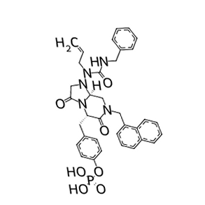 C=CCN(C(=O)NCc1ccccc1)N1CC(=O)N2[C@@H](Cc3ccc(OP(=O)(O)O)cc3)C(=O)N(Cc3cccc4ccccc34)C[C@@H]21